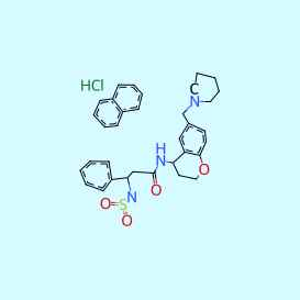 Cl.O=C(CC(N=S(=O)=O)c1ccccc1)NC1CCOc2ccc(CN3CCCCC3)cc21.c1ccc2ccccc2c1